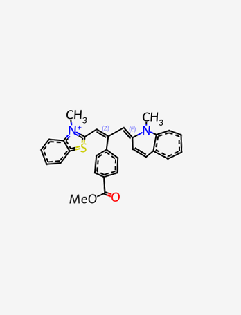 COC(=O)c1ccc(C(=C\c2sc3ccccc3[n+]2C)/C=C2\C=Cc3ccccc3N2C)cc1